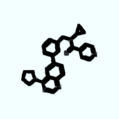 O=C(c1ccncc1)N(Cc1cccc(-c2ccc3ncnc(N4CCCC4)c3c2)c1)C1CC1